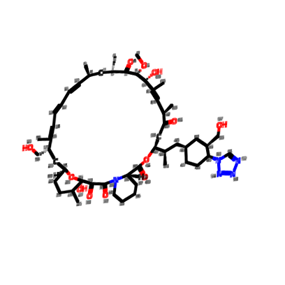 CO[C@H]1C(=O)[C@@H](C)C[C@H](C)/C=C/C=C/C=C(\C)[C@@H](CO)C[C@@H]2CCC(C)[C@@](O)(O2)C(=O)C(=O)N2CCCC[C@H]2C(=O)O[C@H]([C@H](C)C[C@@H]2CC[C@H](n3cnnn3)[C@H](CO)C2)CC(=O)[C@H](C)/C=C(\C)[C@H]1O